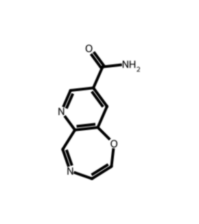 NC(=O)c1cnc2c(c1)OC=CN=C2